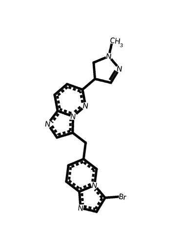 CN1CC(c2ccc3ncc(Cc4ccc5ncc(Br)n5c4)n3n2)C=N1